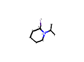 CC(C)N1CCCCC1I